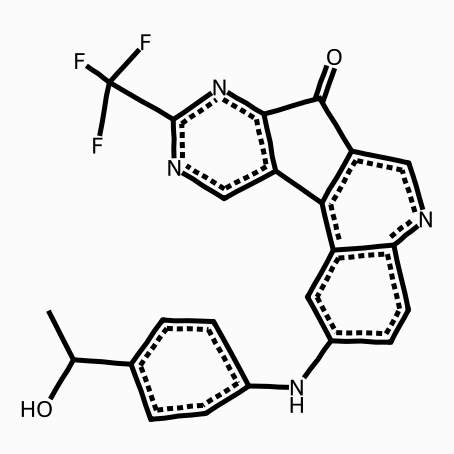 CC(O)c1ccc(Nc2ccc3ncc4c(c3c2)-c2cnc(C(F)(F)F)nc2C4=O)cc1